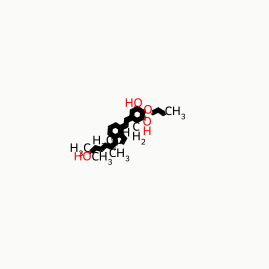 C=C1C(=CC=C2CCC[C@]3(C)[C@@H]([C@H](C)CCCC(C)(C)O)CC[C@@H]23)C[C@@H](O)[C@@H](OCCCC)[C@@H]1O